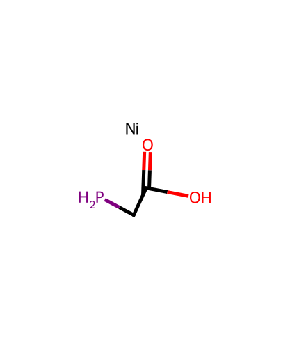 O=C(O)CP.[Ni]